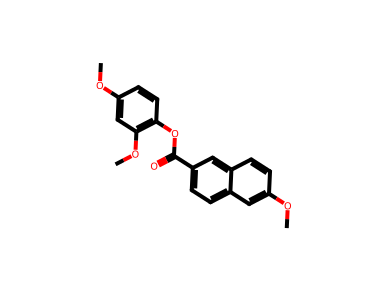 COc1ccc(OC(=O)c2ccc3cc(OC)ccc3c2)c(OC)c1